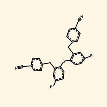 N#Cc1ccc(Cc2cc(Br)ccc2Sc2ccc(Br)cc2Cc2ccc(C#N)cc2)cc1